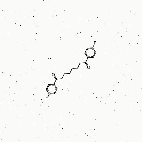 O=C(CCCCCCC(=O)c1ccc(F)cc1)c1ccc(F)cc1